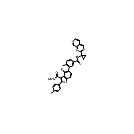 CNC(=O)c1c(-c2ccc(F)cc2)oc2ccc(-c3cc(C(=O)NC4(c5ncc6ccncc6n5)CC4)ccc3C)c(F)c12